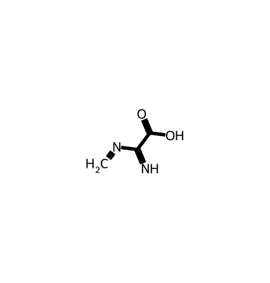 C=NC(=N)C(=O)O